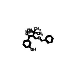 CO/C(=C(/COCc1ccccc1)C(C)(C)C)c1cccc(O)c1